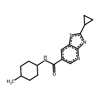 CC1CCC(NC(=O)c2cnc3nc(C4CC4)sc3c2)CC1